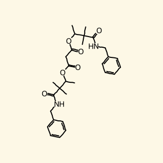 CC(OC(=O)CC(=O)OC(C)C(C)(C)C(=O)NCc1ccccc1)C(C)(C)C(=O)NCc1ccccc1